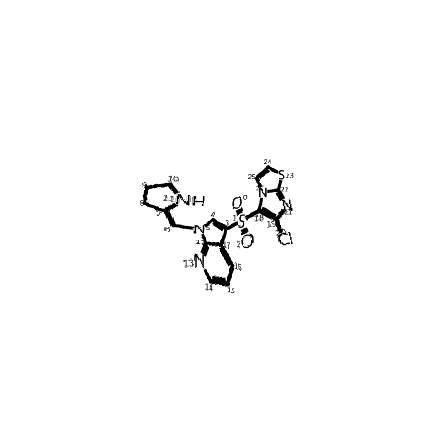 O=S(=O)(c1cn(CC2CCCN2)c2ncccc12)c1c(Cl)nc2sccn12